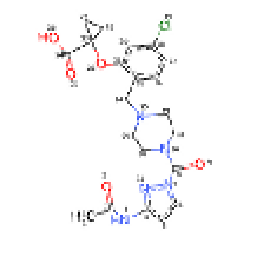 CC(=O)Nc1ccn(C(=O)N2CCN(Cc3ccc(Cl)cc3OC3(C(=O)O)CC3)CC2)n1